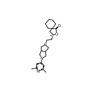 Cc1cc(N2CC3CN(CC[C@H]4CC5(CCCCC5)C(=O)O4)CC3C2)cc(C)n1